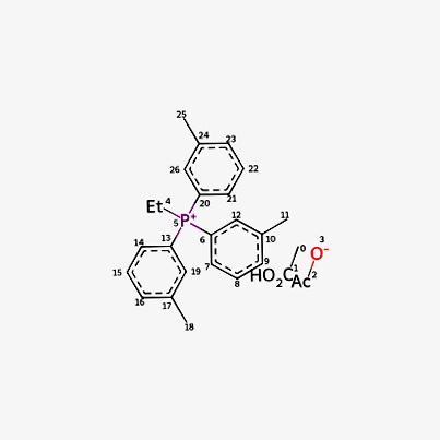 CC(=O)O.CC(=O)[O-].CC[P+](c1cccc(C)c1)(c1cccc(C)c1)c1cccc(C)c1